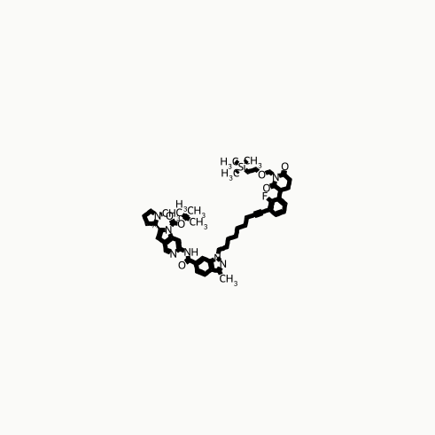 Cc1nn(CCCCCCCC#Cc2cccc(C3CCC(=O)N(COCC[Si](C)(C)C)C3=O)c2F)c2cc(C(=O)Nc3cc4c(cn3)cc([C@H]3CCCN3C)n4C(=O)OC(C)(C)C)ccc12